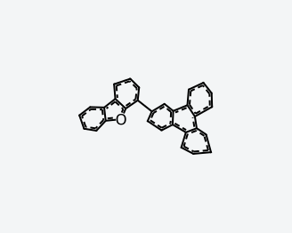 c1ccc2c(c1)oc1c(-c3ccc4c5ccccc5c5ccccc5c4c3)cccc12